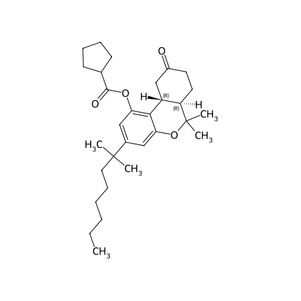 CCCCCCC(C)(C)c1cc(OC(=O)C2CCCC2)c2c(c1)OC(C)(C)[C@@H]1CCC(=O)C[C@@H]21